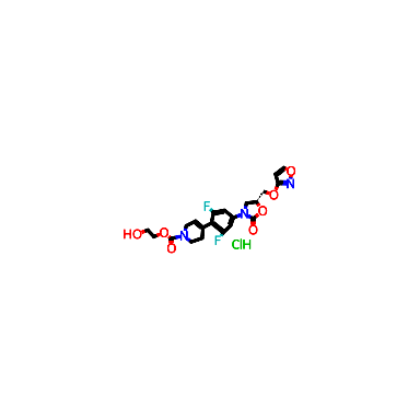 Cl.O=C(OCCO)N1CC=C(c2c(F)cc(N3C[C@H](COc4ccon4)OC3=O)cc2F)CC1